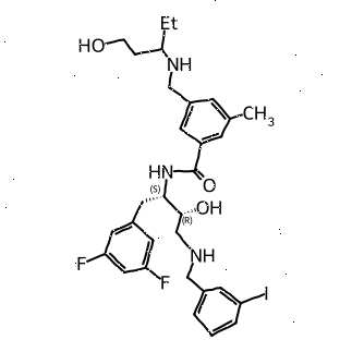 CCC(CCO)NCc1cc(C)cc(C(=O)N[C@@H](Cc2cc(F)cc(F)c2)[C@H](O)CNCc2cccc(I)c2)c1